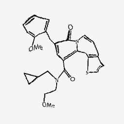 COCCN(CC1CC1)C(=O)c1cc(-c2ccccc2OC)c(=O)n2ccc3ccsc3c12